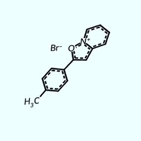 Cc1ccc(-c2cc3cccc[n+]3o2)cc1.[Br-]